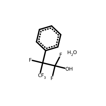 O.OC(F)(F)C(F)(c1ccccc1)C(F)(F)F